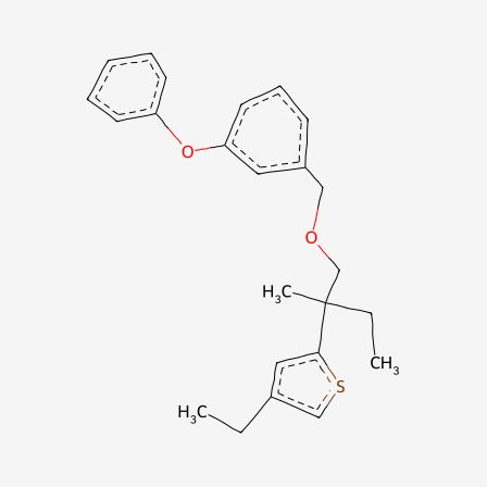 CCc1csc(C(C)(CC)COCc2cccc(Oc3ccccc3)c2)c1